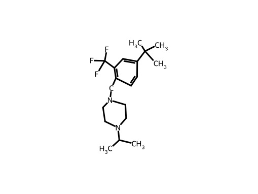 CC(C)N1CCN(Cc2ccc(C(C)(C)C)cc2C(F)(F)F)CC1